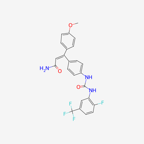 COc1ccc(C(=CC(N)=O)c2ccc(NC(=O)Nc3cc(C(F)(F)F)ccc3F)cc2)cc1